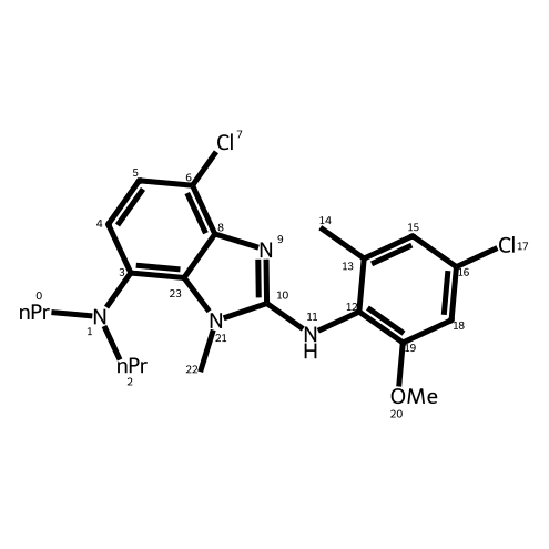 CCCN(CCC)c1ccc(Cl)c2nc(Nc3c(C)cc(Cl)cc3OC)n(C)c12